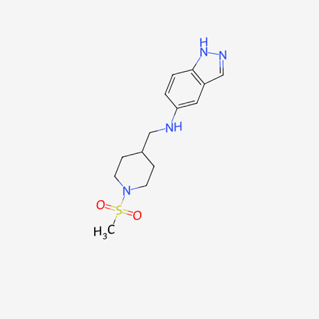 CS(=O)(=O)N1CCC(CNc2ccc3[nH]ncc3c2)CC1